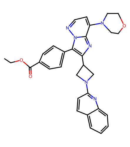 CCOC(=O)c1ccc(-c2c(C3CN(c4ccc5ccccc5n4)C3)nc3c(N4CCOCC4)ccnn23)cc1